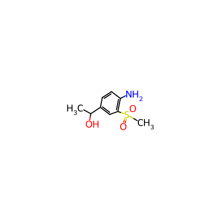 CC(O)c1ccc(N)c(S(C)(=O)=O)c1